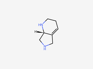 C1=C2CNC[C@@H]2NCC1